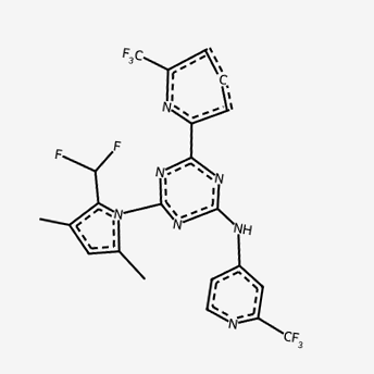 Cc1cc(C)n(-c2nc(Nc3ccnc(C(F)(F)F)c3)nc(-c3cccc(C(F)(F)F)n3)n2)c1C(F)F